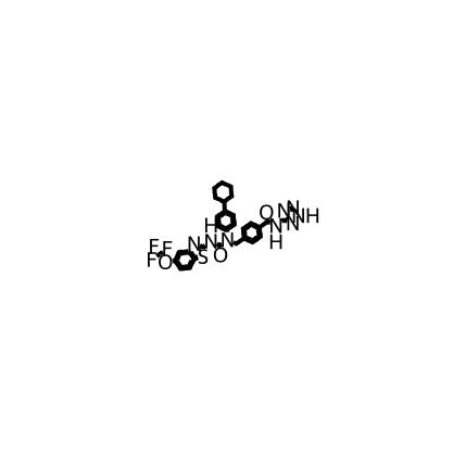 O=C(Nc1nn[nH]n1)c1ccc(CN(C(=O)Nc2nc3cc(OC(F)(F)F)ccc3s2)c2ccc(C3CCCCC3)cc2)cc1